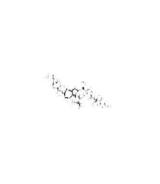 COC(=O)N1CCN(C(=O)c2cc3cc(OC4CCN(C(C)C)CC4)ccc3n2CC(F)F)CC1